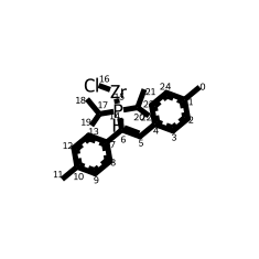 Cc1ccc(C=C(c2ccc(C)cc2)[PH]([Zr][Cl])(C(C)C)C(C)C)cc1